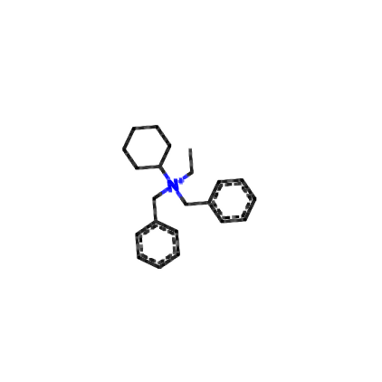 CC[N+](Cc1ccccc1)(Cc1ccccc1)C1CCCCC1